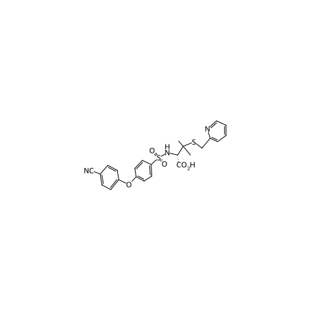 CC(C)(SCc1ccccn1)[C@@H](NS(=O)(=O)c1ccc(Oc2ccc(C#N)cc2)cc1)C(=O)O